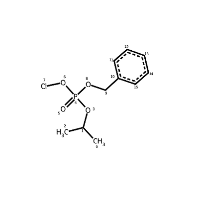 CC(C)OP(=O)(OCl)OCc1ccccc1